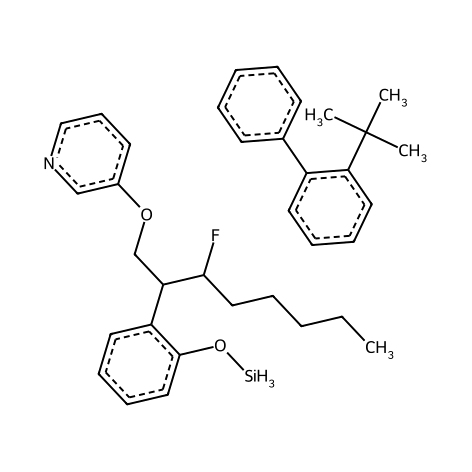 CC(C)(C)c1ccccc1-c1ccccc1.CCCCCC(F)C(COc1cccnc1)c1ccccc1O[SiH3]